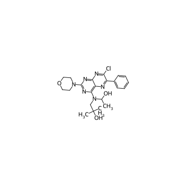 CC(O)N(CC(C)(C)O)c1nc(N2CCOCC2)nc2nc(Cl)c(-c3ccccc3)nc12